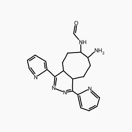 NC1CCC2C(c3ccccn3)=NN=C(c3ccccn3)C2CCC1NC=O